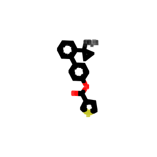 CCOC(=O)C1(c2ccccc2-c2ccc(OC(=O)c3ccsc3)cc2)CC1